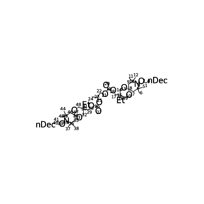 CCCCCCCCCCCON1C(C)(C)CC2(CC1(C)C)OCC(CC)(COC(=O)OCC(C)OC(=O)OCC1(CC)COC3(CC(C)(C)N(OCCCCCCCCCCC)C(C)(C)C3)OC1)CO2